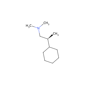 C[C@H](CN(C)C)C1CCCCC1